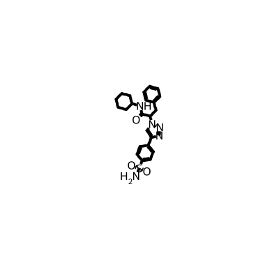 NS(=O)(=O)c1ccc(-c2cn(C(Cc3ccccc3)C(=O)NC3CCCCC3)nn2)cc1